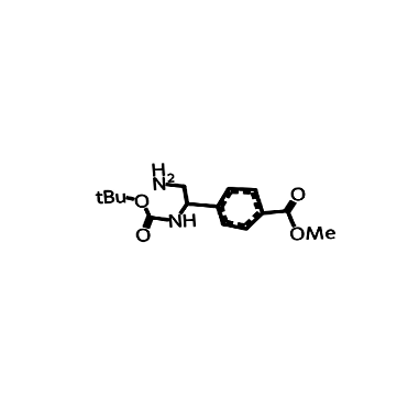 COC(=O)c1ccc(C(CN)NC(=O)OC(C)(C)C)cc1